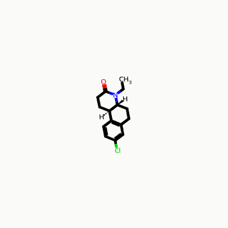 CCN1C(=O)CC[C@@H]2c3ccc(Cl)cc3CC[C@H]21